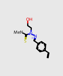 C=Cc1ccc(/C=N/N(CCO)C(=S)NC)cc1